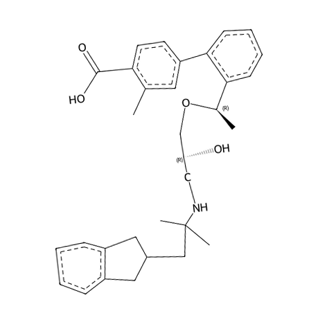 Cc1cc(-c2ccccc2[C@@H](C)OC[C@H](O)CNC(C)(C)CC2Cc3ccccc3C2)ccc1C(=O)O